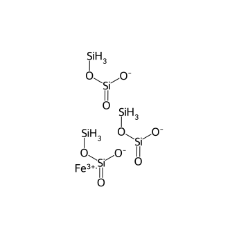 O=[Si]([O-])O[SiH3].O=[Si]([O-])O[SiH3].O=[Si]([O-])O[SiH3].[Fe+3]